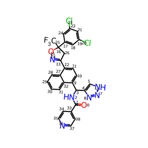 O=C(NC(c1c[nH]nn1)c1ccc(C2=NOC(c3cc(Cl)cc(Cl)c3)(C(F)(F)F)C2)c2ccccc12)c1ccncc1